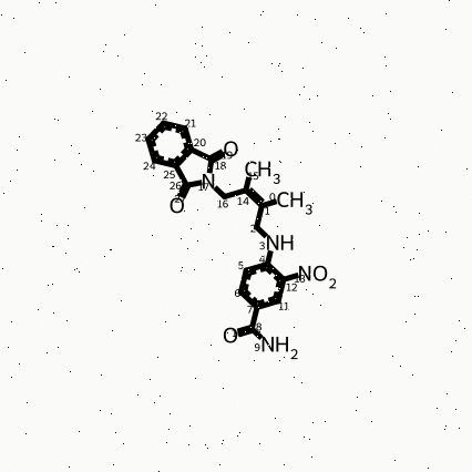 CC(CNc1ccc(C(N)=O)cc1[N+](=O)[O-])=C(C)CN1C(=O)c2ccccc2C1=O